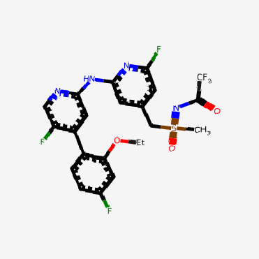 CCOc1cc(F)ccc1-c1cc(Nc2cc(CS(C)(=O)=NC(=O)C(F)(F)F)cc(F)n2)ncc1F